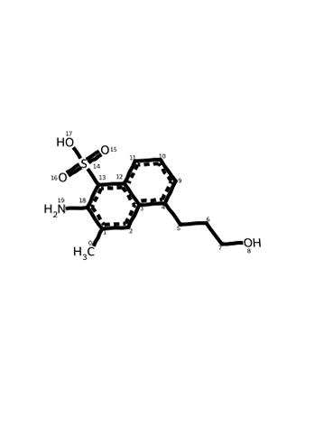 Cc1cc2c(CCCO)cccc2c(S(=O)(=O)O)c1N